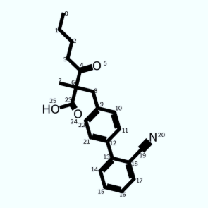 CCCCC(=O)C(C)(Cc1ccc(-c2ccccc2C#N)cc1)C(=O)O